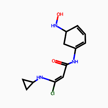 O=C(/C=C(/Cl)NC1CC1)NC1=CC=CC(NO)C1